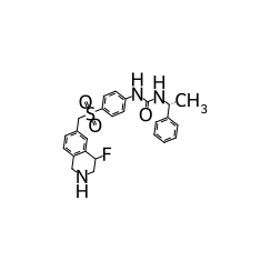 C[C@@H](NC(=O)Nc1ccc(S(=O)(=O)Cc2ccc3c(c2)C(F)CNC3)cc1)c1ccccc1